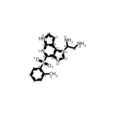 Cc1ccccc1S(=O)(=O)c1nc2[nH]ccc2c2c1ncn2C(N)CN